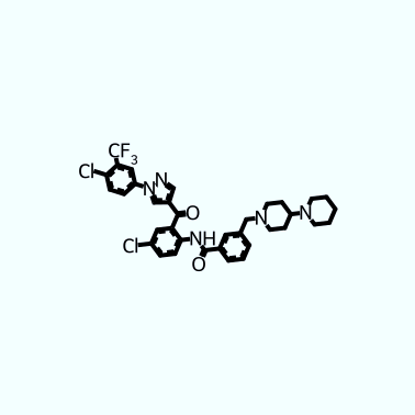 O=C(Nc1ccc(Cl)cc1C(=O)c1cnn(-c2ccc(Cl)c(C(F)(F)F)c2)c1)c1cccc(CN2CCC(N3CCCCC3)CC2)c1